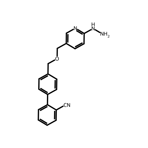 N#Cc1ccccc1-c1ccc(COCc2ccc(NN)nc2)cc1